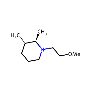 COCCN1CCC[C@H](C)[C@H]1C